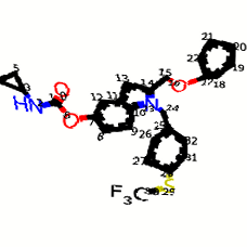 O=C(NC1CC1)Oc1ccc2c(c1)cc(COc1ccccc1)n2Cc1ccc(SC(F)(F)F)cc1